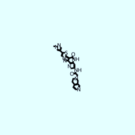 Cn1cc(-c2cn3nc4c5ncc(NC(=O)CN6CCc7ccncc7C6)cc5[nH]c(=O)c4c3s2)cn1